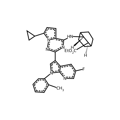 CCOC(=O)[C@@H]1C2CCC(CC2)[C@H]1Nc1nc(-c2cn(-c3ccccc3C)c3ncc(F)cc23)nn2c(C3CC3)ccc12